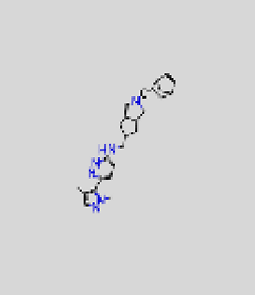 Cc1cnn(C)c1-c1ccc(NCC2CC3CN(CC4CC5C=CC4C5)CC3C2)nn1